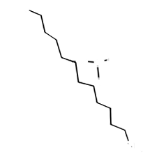 CCCCCCCCCCCCN.C[S+](C)[O-]